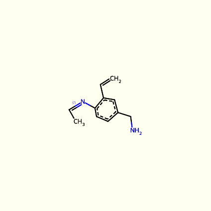 C=Cc1cc(CN)ccc1/N=C\C